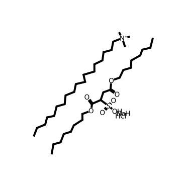 CCCCCCCCCCCCCCCCCC[N+](C)(C)C.CCCCCCCCOC(=O)CC(C(=O)OCCCCCCCC)S(=O)(=O)O.Cl.[NaH]